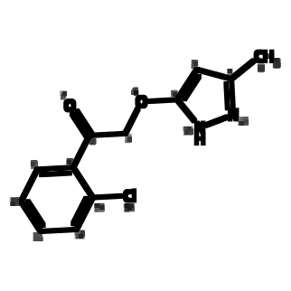 Cc1cc(OCC(=O)c2ccccc2Cl)[nH]n1